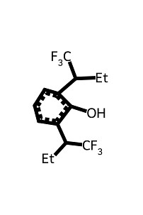 CCC(c1cccc(C(CC)C(F)(F)F)c1O)C(F)(F)F